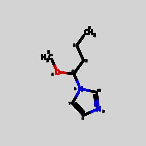 CCCC(OC)n1ccnc1